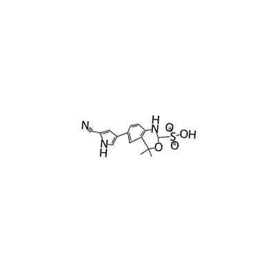 CC1(C)OC(S(=O)(=O)O)Nc2ccc(-c3c[nH]c(C#N)c3)cc21